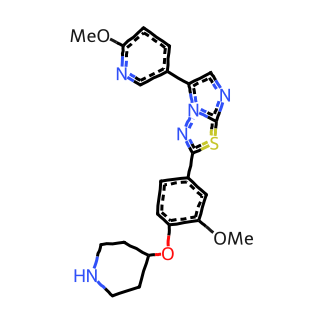 COc1ccc(-c2cnc3sc(-c4ccc(OC5CCNCC5)c(OC)c4)nn23)cn1